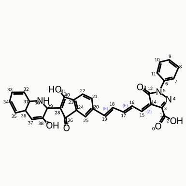 O=C(O)C1=NN(c2ccccc2)C(=O)\C1=C/C=C/C=C/c1ccc2c(c1)C(=O)C(C1NC3C=CC=CC3C=C1O)=C2O